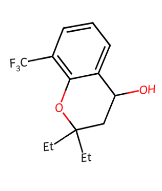 CCC1(CC)CC(O)c2cccc(C(F)(F)F)c2O1